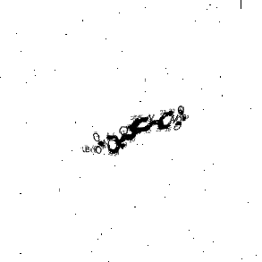 CC(C)(C)OC(=O)N1CCC(C)(c2cc3cc(C4=CCN(S(C)(=O)=O)CC4)ncc3o2)CC1